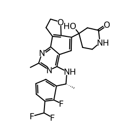 Cc1nc(N[C@H](C)c2cccc(C(F)F)c2F)c2cc(C3(O)CCNC(=O)C3)c3c(c2n1)CCO3